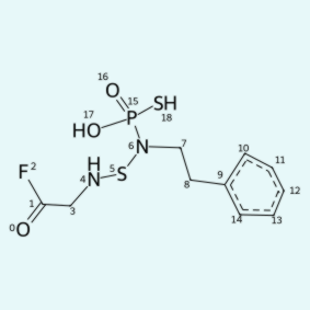 O=C(F)CNSN(CCc1ccccc1)P(=O)(O)S